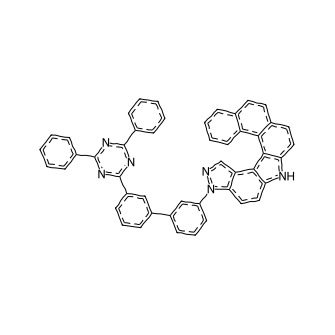 c1ccc(-c2nc(-c3ccccc3)nc(-c3cccc(-c4cccc(-n5ncc6c7c(ccc65)[nH]c5ccc6ccc8ccccc8c6c57)c4)c3)n2)cc1